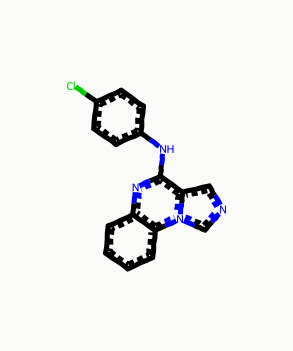 Clc1ccc(Nc2nc3ccccc3n3cncc23)cc1